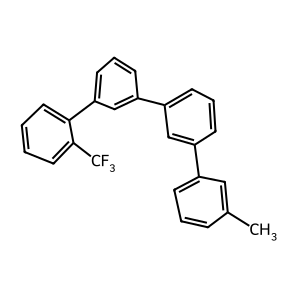 Cc1cccc(-c2cccc(-c3cccc(-c4ccccc4C(F)(F)F)c3)c2)c1